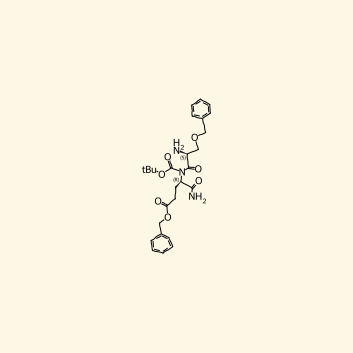 CC(C)(C)OC(=O)N(C(=O)[C@@H](N)COCc1ccccc1)[C@H](CCC(=O)OCc1ccccc1)C(N)=O